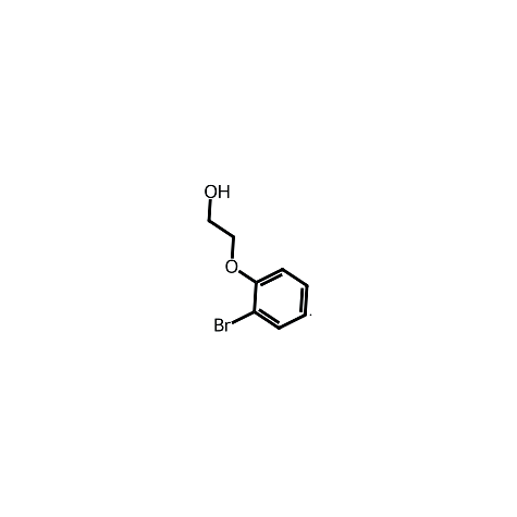 OCCOc1cc[c]cc1Br